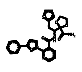 NC(=O)C1(C(Cc2cccs2)NC(=O)c2cccnc2-n2ccc(-c3ccccc3)n2)OCCO1